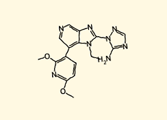 CCn1c(-n2ncnc2N)nc2cncc(-c3ccc(OC)nc3OC)c21